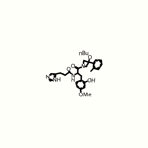 CCCCOC1(c2ccccc2C)CN(C(=O)C(Cc2ccc(OC)cc2O)NC(=O)CCc2cnc[nH]2)C1